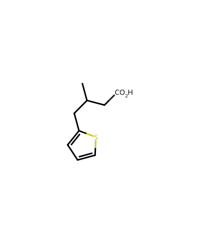 CC(CC(=O)O)Cc1cccs1